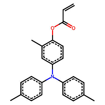 C=CC(=O)Oc1ccc(N(c2ccc(C)cc2)c2ccc(C)cc2)cc1C